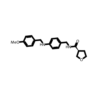 COc1ccc(CNc2ccc(CNC(=O)[C@H]3CCOC3)cc2)cc1